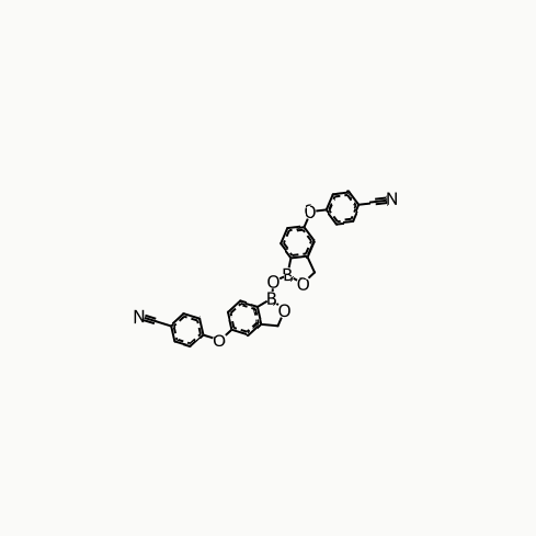 N#Cc1ccc(Oc2ccc3c(c2)COB3OB2OCc3cc(Oc4ccc(C#N)cc4)ccc32)cc1